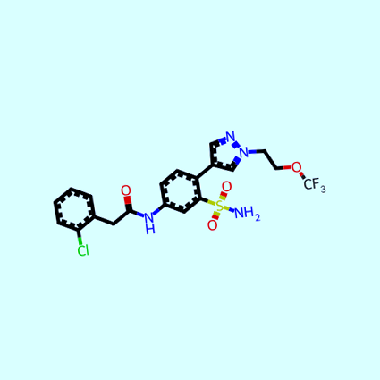 NS(=O)(=O)c1cc(NC(=O)Cc2ccccc2Cl)ccc1-c1cnn(CCOC(F)(F)F)c1